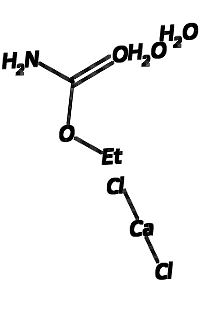 CCOC(N)=O.O.O.[Cl][Ca][Cl]